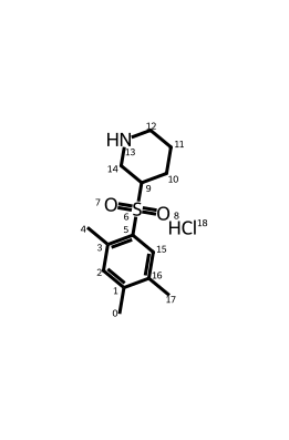 Cc1cc(C)c(S(=O)(=O)C2CCCNC2)cc1C.Cl